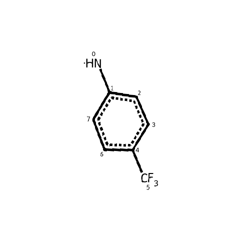 [NH]c1ccc(C(F)(F)F)cc1